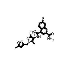 Cc1cc(Cn2nc(C(F)(F)F)c(NC(=O)c3cc(C(N)=O)nc4cc(F)ccc34)c2C)no1